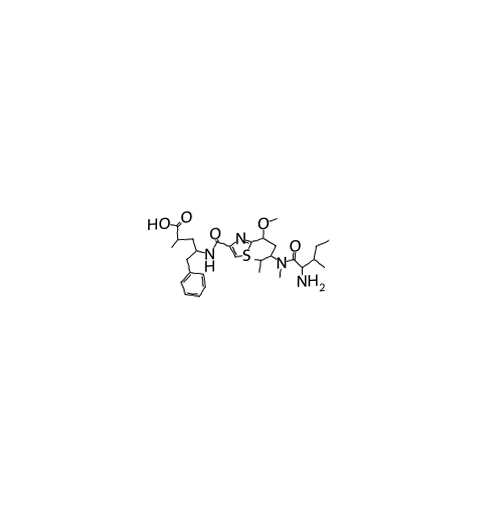 CCC(C)C(N)C(=O)N(C)C(CC(OC)c1nc(C(=O)NC(Cc2ccccc2)CC(C)C(=O)O)cs1)C(C)C